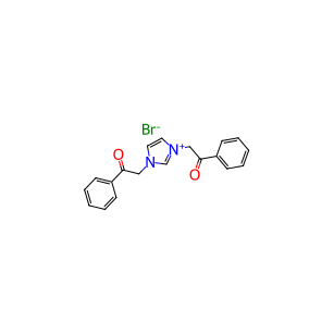 O=C(Cn1cc[n+](CC(=O)c2ccccc2)c1)c1ccccc1.[Br-]